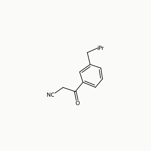 CC(C)Cc1cccc(C(=O)CC#N)c1